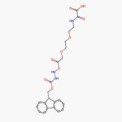 O=C(COCCOCCNC(=O)C(=O)O)ONNC(=O)OCC1c2ccccc2-c2ccccc21